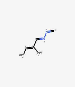 C=N/N=C/C(=C/CCC)CCC